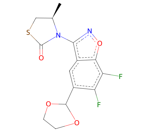 C[C@@H]1CSC(=O)N1c1noc2c(F)c(F)c(C3OCCO3)cc12